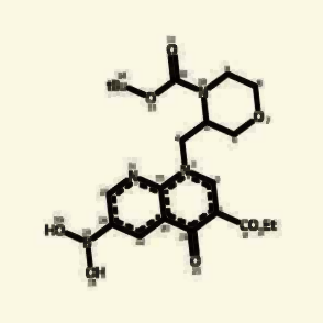 CCOC(=O)c1cn(CC2COCCN2C(=O)OC(C)(C)C)c2ncc(B(O)O)cc2c1=O